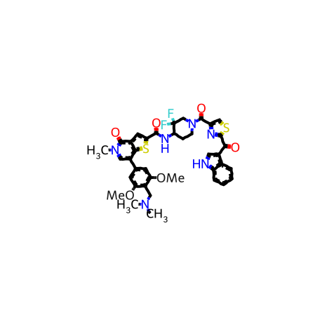 COc1cc(-c2cn(C)c(=O)c3cc(C(=O)NC4CCN(C(=O)c5csc(C(=O)c6c[nH]c7ccccc67)n5)CC4(F)F)sc23)cc(OC)c1CN(C)C